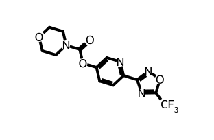 O=C(Oc1ccc(-c2noc(C(F)(F)F)n2)nc1)N1CCOCC1